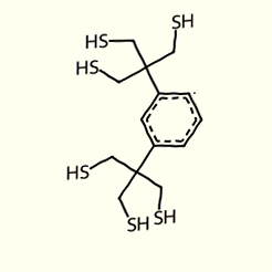 SCC(CS)(CS)c1[c]ccc(C(CS)(CS)CS)c1